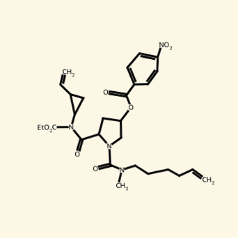 C=CCCCCN(C)C(=O)N1CC(OC(=O)c2ccc([N+](=O)[O-])cc2)CC1C(=O)N(C(=O)OCC)C1CC1C=C